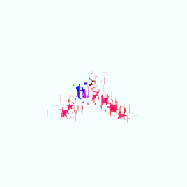 O=P(O)(O)O.O=P(O)(O)O.O=P(O)(O)O.O=P(O)(O)O.O=P(O)(O)O.O=P(O)(O)O.OC[C@H]1O[C@@H](n2cnc3c(O)ncnc32)[C@H](O)[C@@H]1O